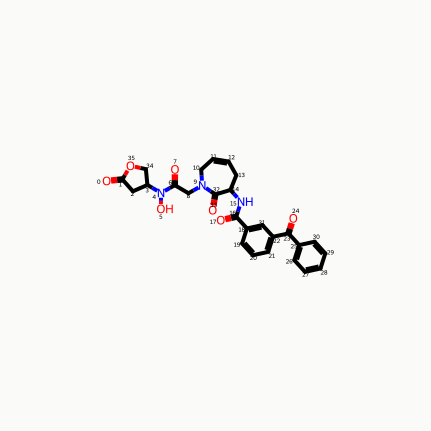 O=C1CC(N(O)C(=O)CN2CC=CCC(NC(=O)c3cccc(C(=O)c4ccccc4)c3)C2=O)CO1